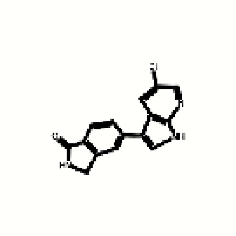 O=C1NCc2cc(-c3c[nH]c4ncc(Cl)cc34)ccc21